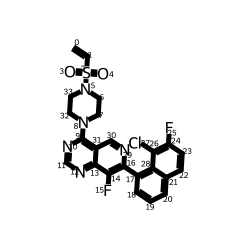 C=CS(=O)(=O)N1CCN(c2ncnc3c(F)c(-c4cccc5ccc(F)c(Cl)c45)ncc23)CC1